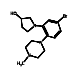 CN1CCN(c2ccc(Br)cc2N2CCC(O)C2)CC1